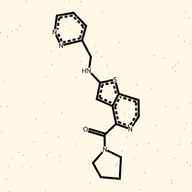 O=C(c1nccc2sc(NCc3cccnn3)cc12)N1CCCC1